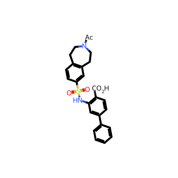 CC(=O)N1CCc2ccc(S(=O)(=O)Nc3cc(-c4ccccc4)ccc3C(=O)O)cc2CC1